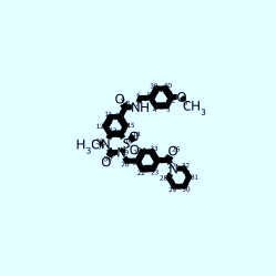 COc1ccc(CNC(=O)c2ccc3c(c2)S(=O)(=O)N(Cc2ccc(C(=O)N4CCCCC4)cc2)C(=O)N3C)cc1